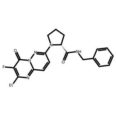 CCc1nc2ccc(N3CCC[C@@H]3C(=O)NCc3ccccc3)nn2c(=O)c1F